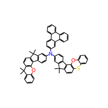 CC1(C)c2ccccc2Oc2c1ccc1c2-c2ccc(N(c3ccc4c(c3)C(C)(C)c3ccc5c(c3-4)Oc3ccccc3S5)c3ccc4c5ccccc5c5ccccc5c4c3)cc2C1(C)C